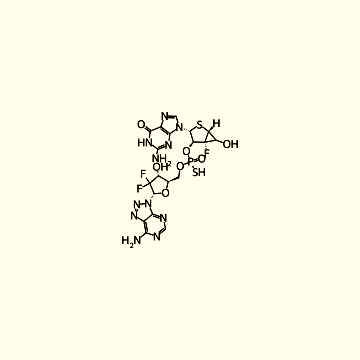 Nc1nc2c(ncn2[C@@H]2S[C@@H]3C(O)[C@@]3(F)[C@H]2OP(=O)(S)OC[C@H]2O[C@H](n3nnc4c(N)ncnc43)C(F)(F)[C@@H]2O)c(=O)[nH]1